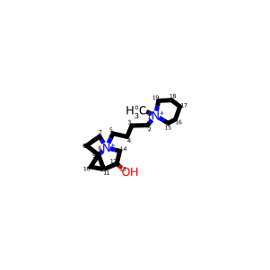 C[N+]1(CCCC[N+]23CCC24CC4C(O)C3)CCCCC1